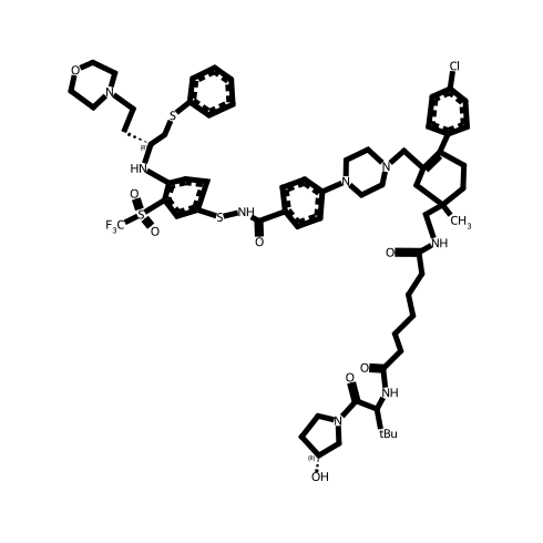 CC1(CNC(=O)CCCCCC(=O)NC(C(=O)N2CC[C@@H](O)C2)C(C)(C)C)CCC(c2ccc(Cl)cc2)=C(CN2CCN(c3ccc(C(=O)NSc4ccc(N[C@H](CCN5CCOCC5)CSc5ccccc5)c(S(=O)(=O)C(F)(F)F)c4)cc3)CC2)C1